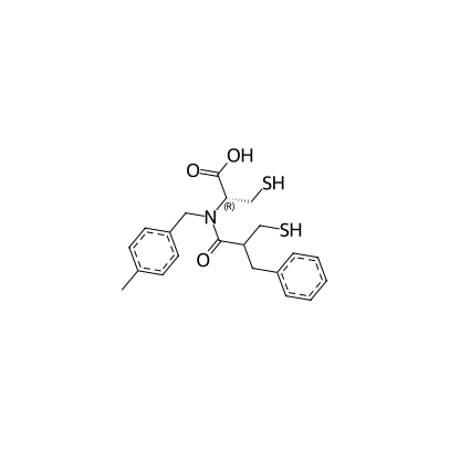 Cc1ccc(CN(C(=O)C(CS)Cc2ccccc2)[C@@H](CS)C(=O)O)cc1